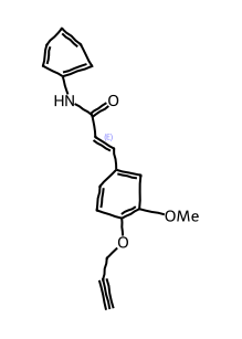 C#CCOc1ccc(/C=C/C(=O)Nc2ccccc2)cc1OC